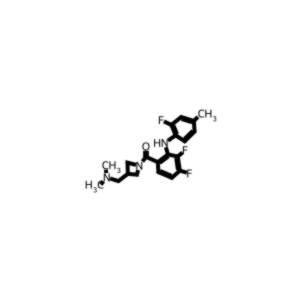 Cc1ccc(Nc2c(C(=O)N3CC(CN(C)C)C3)ccc(F)c2F)c(F)c1